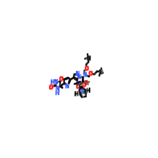 CC(C)(C)OC(=O)N1[C@@H]2CC[C@H]1C[C@H](c1nc3c(-c4ccc(C5(C)NC(=O)NC5=O)nc4)cnn3c(N(COCC[Si](C)(C)C)COCC[Si](C)(C)C)c1Br)C2